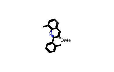 COc1cc2cccc(C)c2nc1-c1ccccc1C